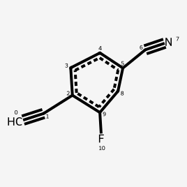 C#Cc1ccc(C#N)cc1F